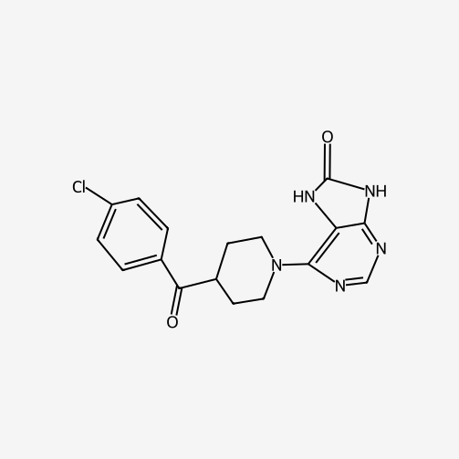 O=C(c1ccc(Cl)cc1)C1CCN(c2ncnc3[nH]c(=O)[nH]c23)CC1